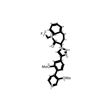 COc1cnccc1-c1ccc(-c2cn(C3CCc4ccccc4N(CC(F)(F)F)C3=O)nn2)cc1OC